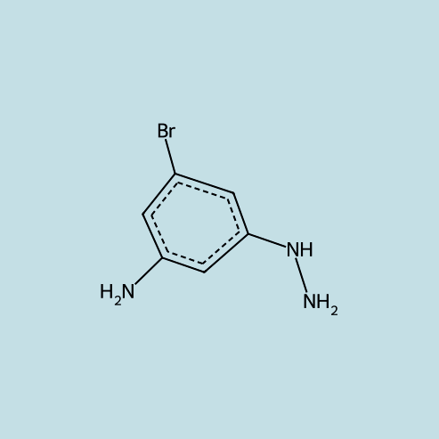 NNc1cc(N)cc(Br)c1